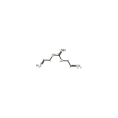 C=CCOC(=N)OCC=C